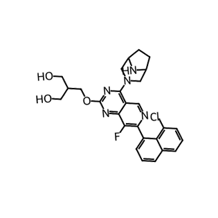 OCC(CO)COc1nc(N2CC3CCC(C2)N3)c2cnc(-c3cccc4cccc(Cl)c34)c(F)c2n1